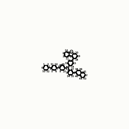 c1ccc(-c2ccc(-c3ccc(N(c4ccc(-c5cccc6oc7ccccc7c56)cc4)c4cccc(-c5ccc6ccccc6c5)c4)cc3)cc2)cc1